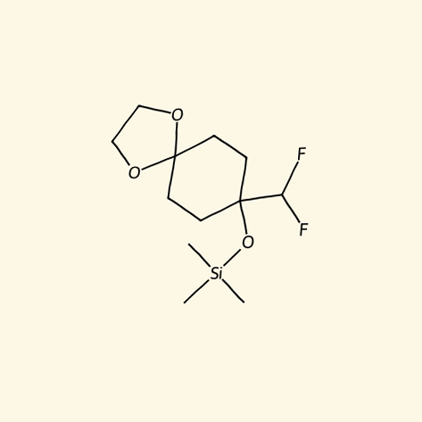 C[Si](C)(C)OC1(C(F)F)CCC2(CC1)OCCO2